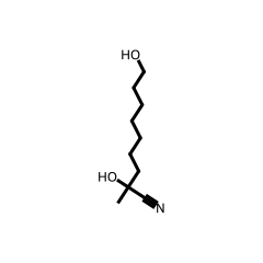 CC(O)(C#N)CCCCCCCO